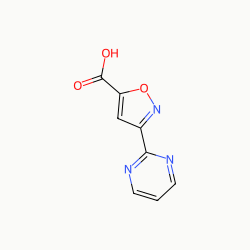 O=C(O)c1cc(-c2ncccn2)no1